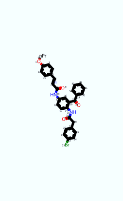 CCCOc1ccc(/C=C/C(=O)Nc2ccc(NC(=O)Cc3ccc(Br)cc3)c(C(=O)c3ccccc3)c2)cc1